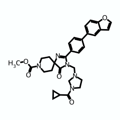 COC(=O)N1CCC2(CC1)N=C(c1ccc(-c3ccc4occc4c3)cc1)N(CN1CCN(C(=O)C3CC3)C1)C2=O